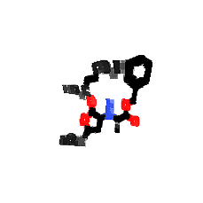 CCCCCCCCC1CC(N[C@@H](C)C(=O)OCc2ccccc2)C(=O)O1.O=C(O)C=CC(=O)O